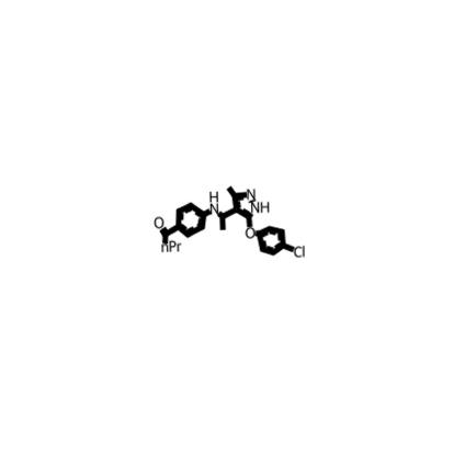 CCCC(=O)c1ccc(NC(C)c2c(C)n[nH]c2Oc2ccc(Cl)cc2)cc1